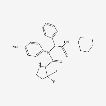 CC(C)(C)c1ccc(N(C(=O)C2NCCC2(F)F)C(C(=O)NC2CCCCC2)c2cccnc2)cc1